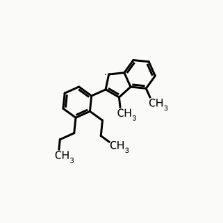 CCCc1cccc(C2=C(C)c3c(C)cccc3[CH]2)c1CCC